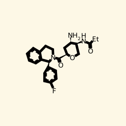 CCC(=O)N[C@H]1CO[C@@H](C(=O)N2CCc3ccccc3[C@@H]2c2ccc(F)cc2)C[C@@H]1N